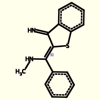 CN/C(=C1/Sc2ccccc2C1=N)c1ccccc1